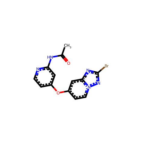 CC(=O)Nc1cc(Oc2ccn3nc(Br)nc3c2)ccn1